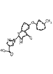 Cc1cccc(Oc2ccc3nc(-n4cc(C(=O)O)cn4)[nH]c(=O)c3c2)c1